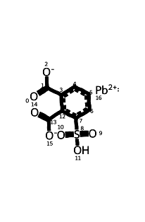 O=C([O-])c1cccc(S(=O)(=O)O)c1C(=O)[O-].[Pb+2]